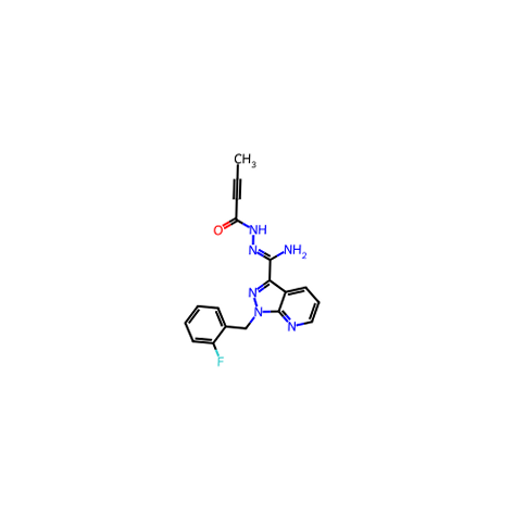 CC#CC(=O)N/N=C(\N)c1nn(Cc2ccccc2F)c2ncccc12